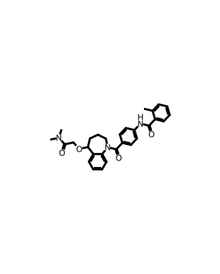 Cc1ccccc1C(=O)Nc1ccc(C(=O)N2CCCC(OCC(=O)N(C)C)c3ccccc32)cc1